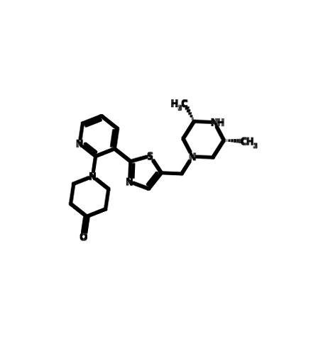 C[C@@H]1CN(Cc2cnc(-c3cccnc3N3CCC(=O)CC3)s2)C[C@H](C)N1